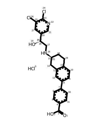 Cl.O=C(O)c1ccc(-c2ccc3c(c2)C[C@@H](NC[C@H](O)c2cnc(Cl)c(Cl)c2)CC3)cc1